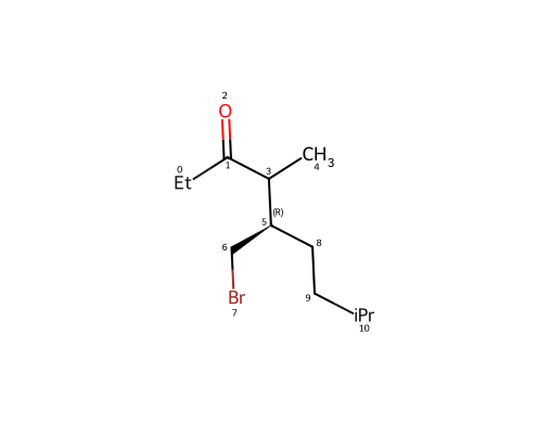 CCC(=O)C(C)[C@H](CBr)CCC(C)C